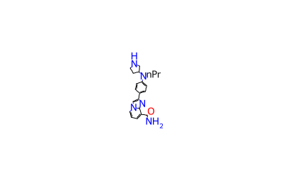 CCCN(c1ccc(-c2cn3cccc(C(N)=O)c3n2)cc1)C1CCNC1